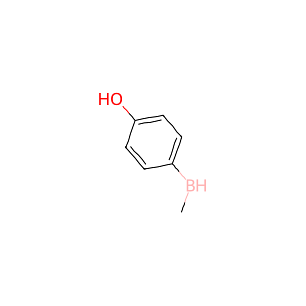 CBc1ccc(O)cc1